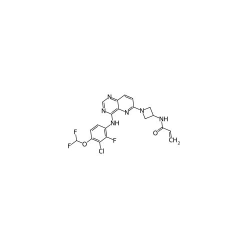 C=CC(=O)NC1CN(c2ccc3ncnc(Nc4ccc(OC(F)F)c(Cl)c4F)c3n2)C1